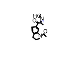 CC(=O)N1CCCc2ccc(C(=O)/C(C)=N\O)cc21